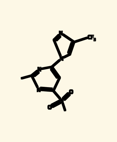 Cc1nc(-n2cnc(C(F)(F)F)c2)cc(S(C)(=O)=O)n1